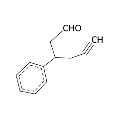 C#CCC(CC=O)c1ccccc1